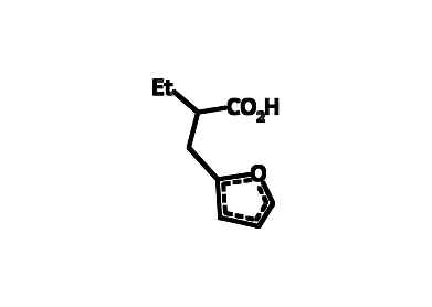 CCC(Cc1ccco1)C(=O)O